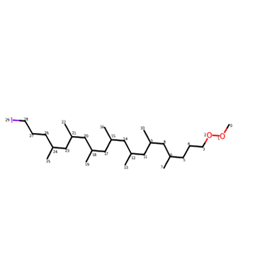 COOCCCC(C)CC(C)CC(C)CC(C)CC(C)CC(C)CC(C)CCCI